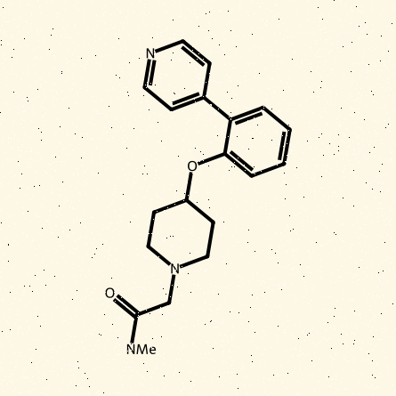 CNC(=O)CN1CCC(Oc2ccccc2-c2ccncc2)CC1